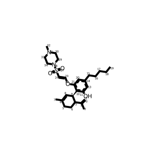 C=C(C)C1CCC(C)=C[C@H]1c1c(O)cc(CCCCC)cc1O/C=C/S(=O)(=O)N1CCN(C)CC1